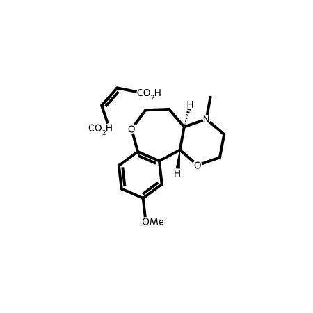 COc1ccc2c(c1)[C@H]1OCCN(C)[C@@H]1CCO2.O=C(O)/C=C\C(=O)O